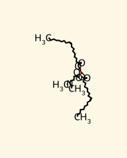 CCCCCCCC/C=C\CCCCCCCC(=O)OCC(COC(=O)CCCCCCC/C=C\CCCCCCCC)OC(=O)CCCN(C)CC